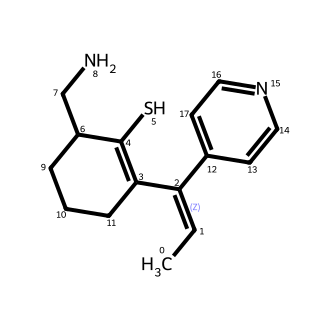 C/C=C(\C1=C(S)C(CN)CCC1)c1ccncc1